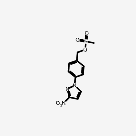 CS(=O)(=O)OCc1ccc(-n2ccc([N+](=O)[O-])n2)cc1